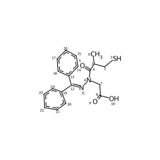 CC(CS)C(=O)N(CC(=O)O)N=C(c1ccccc1)c1ccccc1